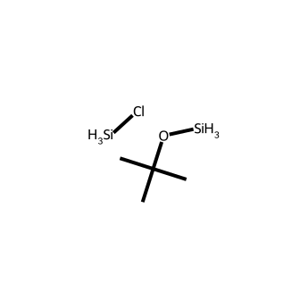 CC(C)(C)O[SiH3].[SiH3]Cl